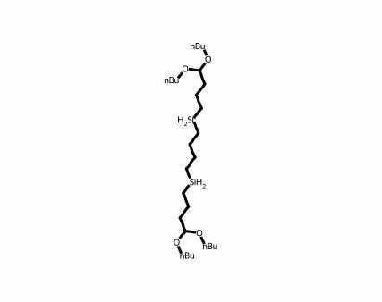 CCCCOC(CCC[SiH2]CCCC[SiH2]CCCC(OCCCC)OCCCC)OCCCC